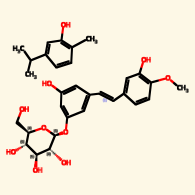 COc1ccc(/C=C/c2cc(O)cc(O[C@@H]3O[C@H](CO)[C@@H](O)[C@H](O)[C@H]3O)c2)cc1O.Cc1ccc(C(C)C)cc1O